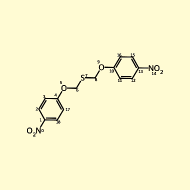 O=[N+]([O-])c1ccc(OCSCOc2ccc([N+](=O)[O-])cc2)cc1